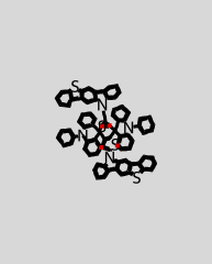 c1ccc(N2c3ccccc3C3(c4ccccc42)c2cc(-n4c5ccccc5c5cc6sc7ccccc7c6cc54)sc2C2(c4ccccc4N(c4ccccc4)c4ccccc42)c2cc(-n4c5ccccc5c5cc6sc7ccccc7c6cc54)sc23)cc1